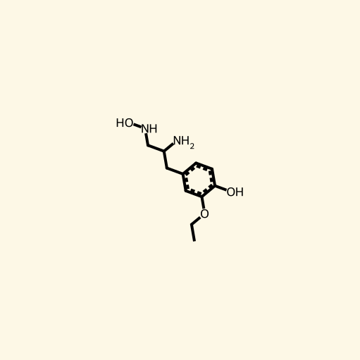 CCOc1cc(CC(N)CNO)ccc1O